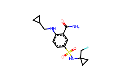 NC(=O)c1cc(S(=O)(=O)NC2(CF)CC2)ccc1NCC1CC1